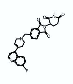 O=C1CCC(N2C(=O)c3ccc(CN4CC=C(c5ccnc6cc(F)ccc56)CC4)cc3C2=O)C(=O)N1